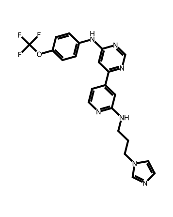 FC(F)(F)Oc1ccc(Nc2cc(-c3ccnc(NCCCn4ccnc4)c3)ncn2)cc1